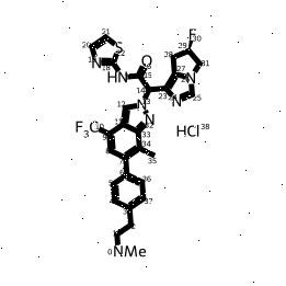 CNCCc1ccc(-c2cc(C(F)(F)F)c3cn(C(C(=O)Nc4nccs4)c4ncn5c4C[C@@H](F)C5)nc3c2C)cc1.Cl